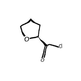 O=C(Cl)[C@@H]1CCCO1